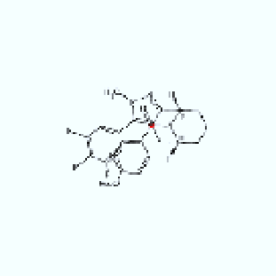 COc1ccc(C(=O)N2[C@@H]3CCC[C@H]2c2nn(C)c(-c4cc(F)c(F)c(F)c4)c2C3)cn1